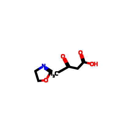 C1=NCCO1.CC(=O)CC(=O)O